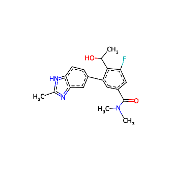 Cc1nc2cc(-c3cc(C(=O)N(C)C)cc(F)c3C(C)O)ccc2[nH]1